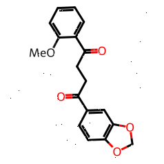 COc1ccccc1C(=O)CCC(=O)c1ccc2c(c1)OCO2